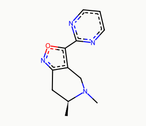 C[C@H]1Cc2noc(-c3ncccn3)c2CN1C